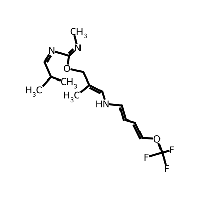 C/N=C(\N=C/C(C)C)OC/C(C)=C/N/C=C/C=C/OC(F)(F)F